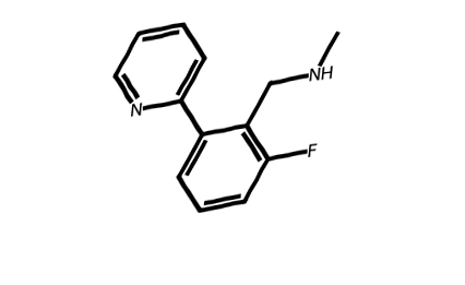 CNCc1c(F)cccc1-c1ccccn1